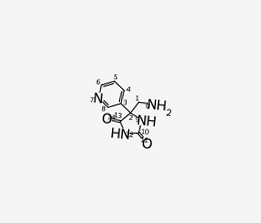 NCC1(c2cccnc2)NC(=O)NC1=O